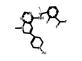 CC(=O)N1CC=C(C2=Cc3c(N[C@H](C)c4cccc(C(F)F)c4F)ncnc3N(C)C2)CC1